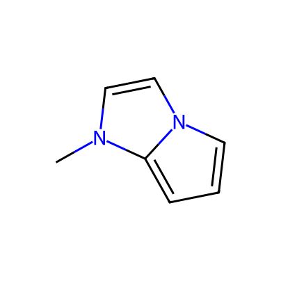 Cn1ccn2cccc12